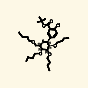 CCCCOC[C@H]1S[C@@H](c2ccc(Cl)c(C(=O)OC(C)(C)C)c2)[C@H](OCCCC)[C@@H](OCCCC)[C@@H]1OCCCC